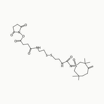 C=C1CCC(C)(C)CS(=O)(=NC(=O)NCCSSCCNC(=O)CCC(=O)ON2C(=O)CCC2=O)CC1(C)C